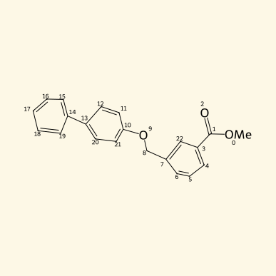 COC(=O)c1cccc(COc2ccc(-c3ccccc3)cc2)c1